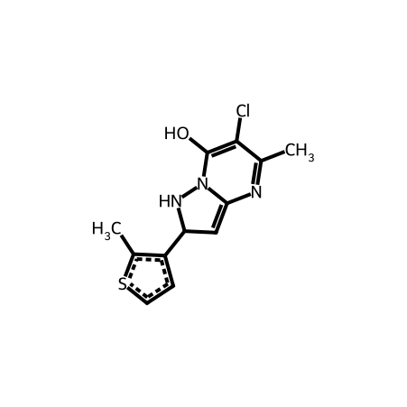 CC1=NC2=CC(c3ccsc3C)NN2C(O)=C1Cl